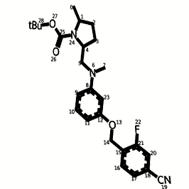 CC1CCC(CN(C)c2cccc(OCc3ccc(C#N)cc3F)c2)N1C(=O)OC(C)(C)C